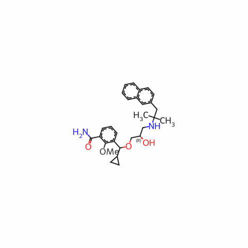 COc1c(C(N)=O)cccc1C(OC[C@H](O)CNC(C)(C)Cc1ccc2ccccc2c1)C1CC1